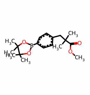 COC(=O)C(C)(C)Cc1ccc(B2OC(C)(C)C(C)(C)O2)cc1